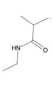 [CH2]C(C)C(=O)NCC